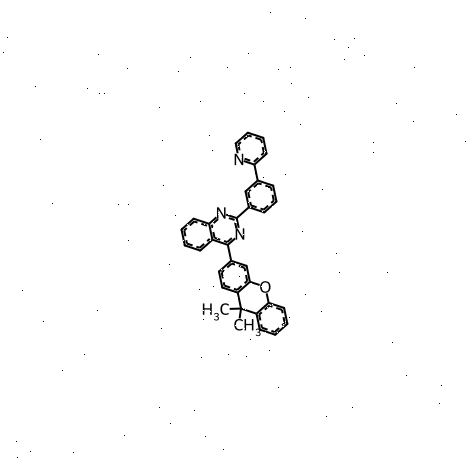 CC1(C)c2ccccc2Oc2cc(-c3nc(-c4cccc(-c5ccccn5)c4)nc4ccccc34)ccc21